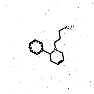 O=S(=O)(O)CCCN1CC=CCC1c1ccccc1